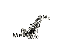 COc1ccc(C(=O)Nc2ccc(NC(=S)Nc3cc(Br)c(OC)cc3OC)cc2)cc1